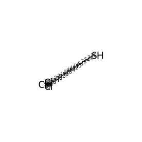 SCCCCCCCCCCCCCCCCCCCCCCCCCCCC[Si](Cl)(Cl)Cl